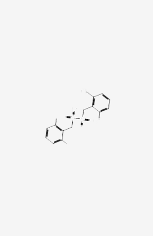 O=S(=O)(Cc1c(Cl)cccc1Cl)S(=O)(=O)Cc1c(Cl)cccc1Cl